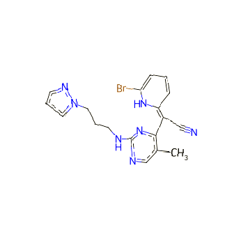 Cc1cnc(NCCCn2cccn2)nc1C(C#N)=C1C=CC=C(Br)N1